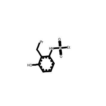 CCS(=O)(=O)Nc1cccc(O)c1CC(C)C